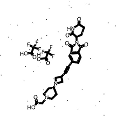 O=C(O)C(F)(F)F.O=C(O)C(F)(F)F.O=C(O)CN1CCC(N2CC(C#Cc3ccc4c(c3)C(=O)N(C3CCC(=O)NC3=O)C4=O)C2)CC1